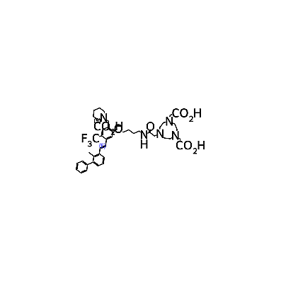 Cc1c(/C=C/c2cc(OCCCCNC(=O)CN3CCN(CC(=O)O)CCN(CC(=O)O)CC3)c(CN3CCCC[C@H]3C(=O)O)cc2C(F)(F)F)cccc1-c1ccccc1